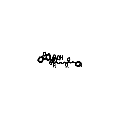 O=C(CCc1ccncc1)NCCCCC(NS(=O)(=O)c1ccc2oc3ccccc3c2c1)C(=O)O